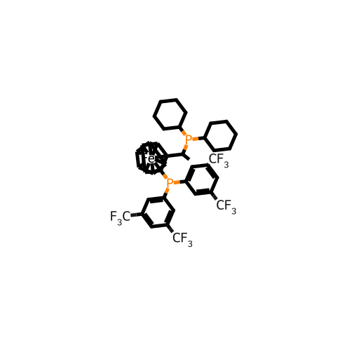 CC(P(C1CCCCC1)C1CCCCC1)[C]12[CH]3[CH]4[CH]5[C]1(P(c1cc(C(F)(F)F)cc(C(F)(F)F)c1)c1cc(C(F)(F)F)cc(C(F)(F)F)c1)[Fe]43521678[CH]2[CH]1[CH]6[CH]7[CH]28